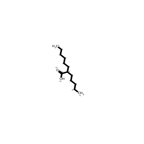 CCCCCCC(CCCCC)C(=O)O